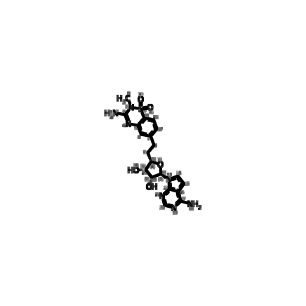 CN1C(N)=Nc2cc(CC[C@H]3O[C@@H](n4ccc5c(N)ncnc54)[C@H](O)[C@@H]3O)ccc2S1(=O)=O